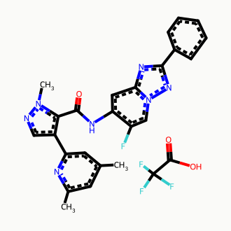 Cc1cc(C)nc(-c2cnn(C)c2C(=O)Nc2cc3nc(-c4ccccc4)nn3cc2F)c1.O=C(O)C(F)(F)F